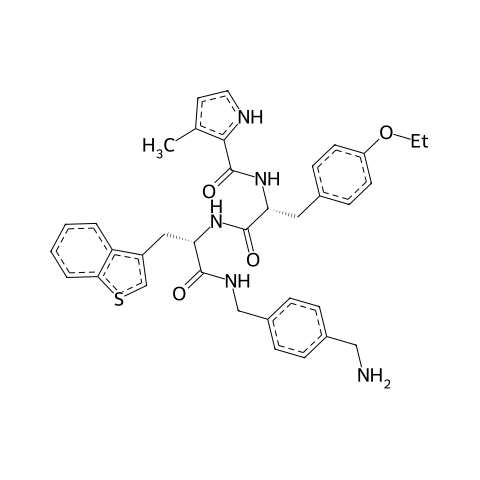 CCOc1ccc(C[C@@H](NC(=O)c2[nH]ccc2C)C(=O)N[C@@H](Cc2csc3ccccc23)C(=O)NCc2ccc(CN)cc2)cc1